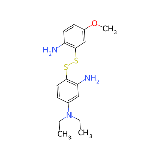 CCN(CC)c1ccc(SSc2cc(OC)ccc2N)c(N)c1